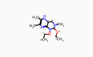 CCOC1N(C)CC2NC(C)=C(C)N=C2N1OCC